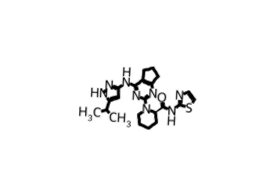 CC(C)c1cc(Nc2nc(N3CCCC[C@@H]3C(=O)Nc3nccs3)nc3c2CCC3)n[nH]1